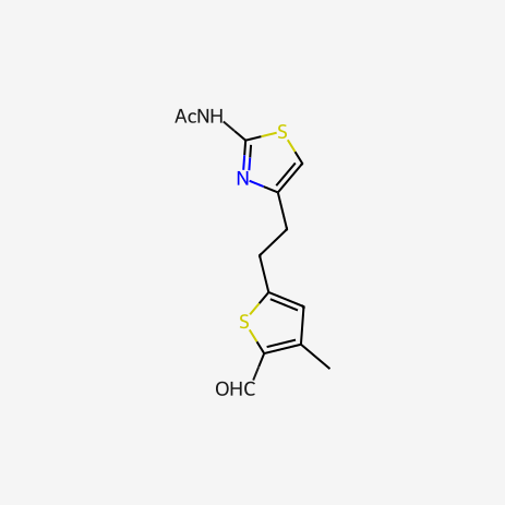 CC(=O)Nc1nc(CCc2cc(C)c(C=O)s2)cs1